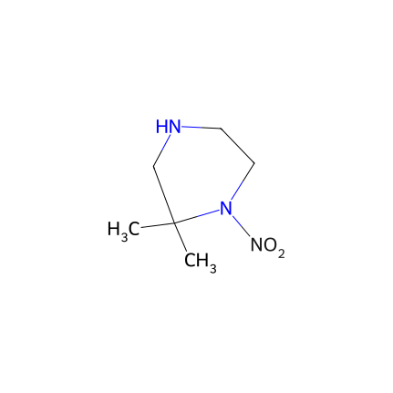 CC1(C)CNCCN1[N+](=O)[O-]